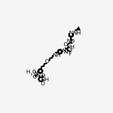 Cn1c(=O)n([C@@H]2CCC(=O)NC2=O)c2ccc(CCCCOCCCCNCc3ccc(-n4cc(NC(=O)c5coc(-c6ccnc(NCC7CC7)c6)n5)c(C(F)F)n4)cc3)cc21